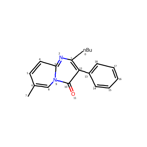 CCCCc1nc2ccc(C)cn2c(=O)c1-c1[c]cccc1